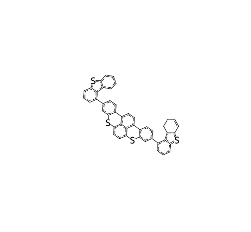 C1=Cc2sc3cccc(-c4ccc5c(c4)Sc4ccc6c7c(ccc-5c47)-c4ccc(-c5cccc7sc8ccccc8c57)cc4S6)c3c2CC1